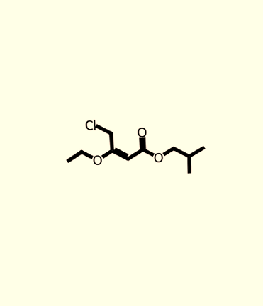 CCO/C(=C/C(=O)OCC(C)C)CCl